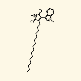 CCCCCCCCCCCCCCCCC1=C(c2cn(C)c3ccccc23)C(=O)NC1=O